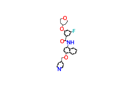 O=C(Nc1ccc(OCc2ccncc2)c2ccccc12)c1cc(F)cc(OC2CCOCC2)c1